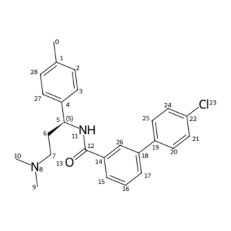 Cc1ccc([C@H](CCN(C)C)NC(=O)c2cccc(-c3ccc(Cl)cc3)c2)cc1